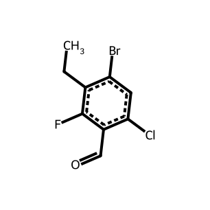 CCc1c(Br)cc(Cl)c(C=O)c1F